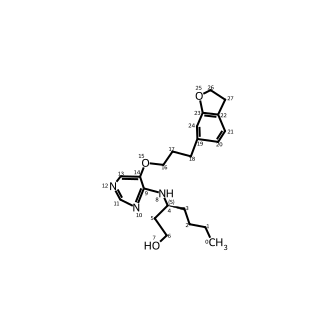 CCCC[C@@H](CCO)Nc1ncncc1OCCCc1ccc2c(c1)OCC2